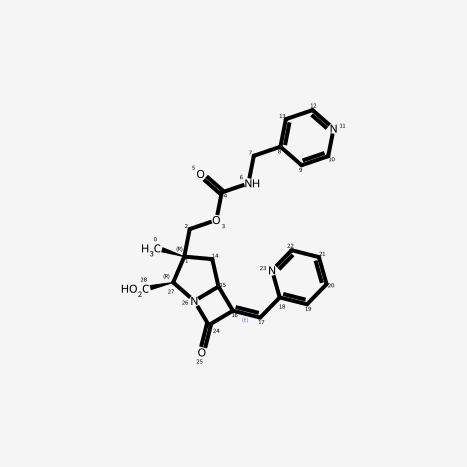 C[C@@]1(COC(=O)NCc2ccncc2)CC2/C(=C\c3ccccn3)C(=O)N2[C@H]1C(=O)O